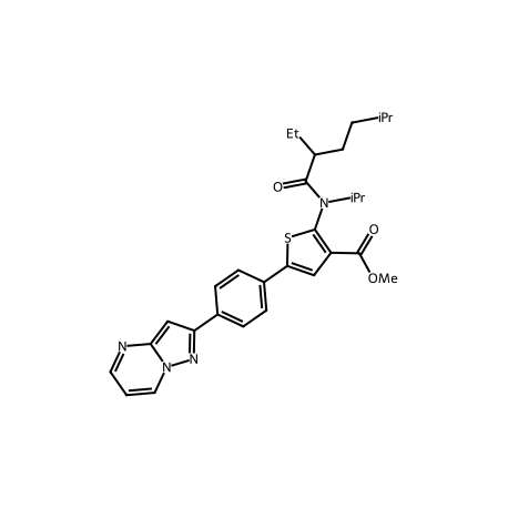 CCC(CCC(C)C)C(=O)N(c1sc(-c2ccc(-c3cc4ncccn4n3)cc2)cc1C(=O)OC)C(C)C